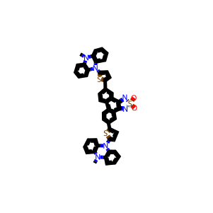 CN1c2ccccc2N(c2ccc(-c3ccc4c(c3)c3c(c5cc(-c6ccc(N7c8ccccc8N(C)c8ccccc87)s6)ccc54)=NS(=O)(=O)N=3)s2)c2ccccc21